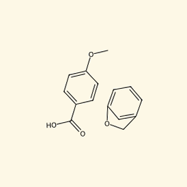 COc1ccc(C(=O)O)cc1.c1cc2cc(c1)OC2